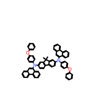 CC1(C)c2cc(N(c3ccc(Oc4ccccc4)cc3)c3cc4ccccc4c4ccccc34)ccc2-c2ccc(N(c3ccc(Oc4ccccc4)cc3)c3cc4ccccc4c4ccccc34)cc21